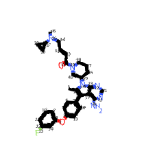 Cc1c(-c2ccc(Oc3cccc(F)c3)cc2)c2c(N)ncnc2n1C1CCCN(C(=O)C=CCN(C)C2CC2)C1